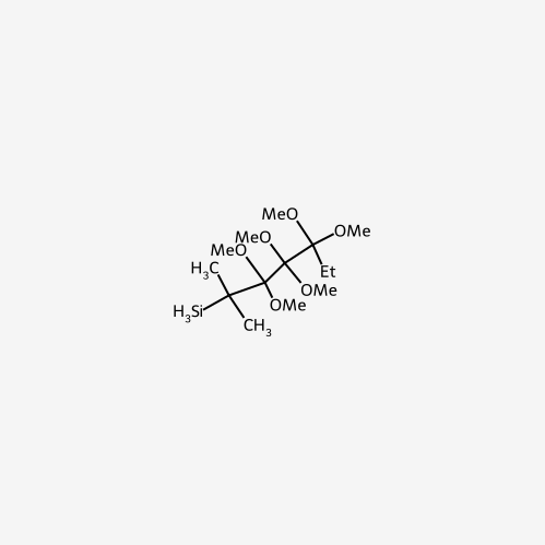 CCC(OC)(OC)C(OC)(OC)C(OC)(OC)C(C)(C)[SiH3]